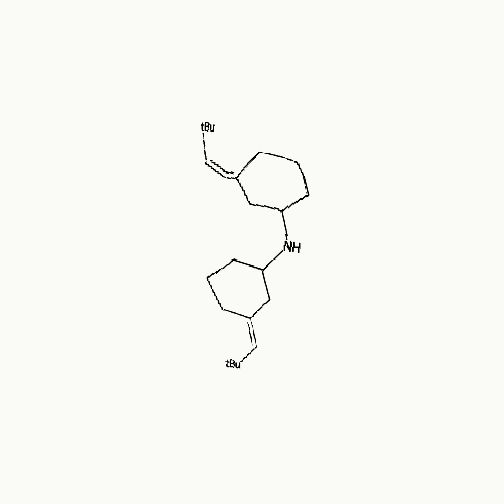 CC(C)(C)C=C1CCCC(NC2CCCC(=CC(C)(C)C)C2)C1